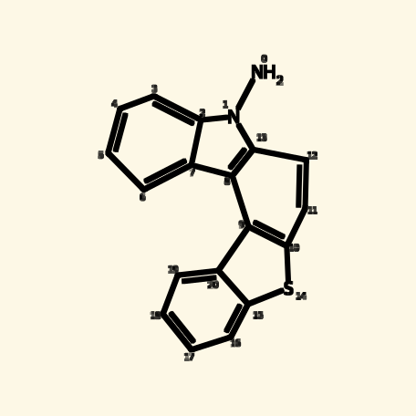 Nn1c2ccccc2c2c3c(ccc21)sc1ccccc13